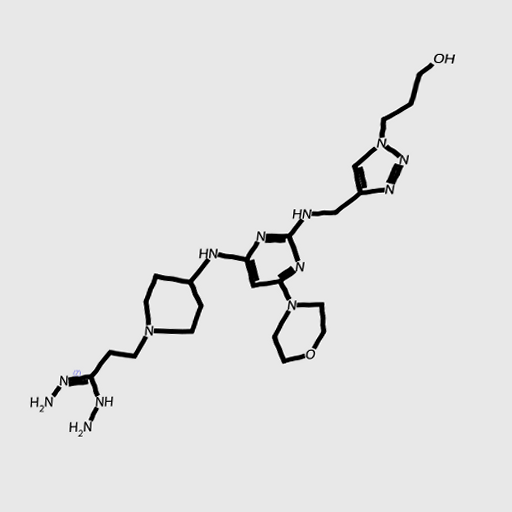 N/N=C(/CCN1CCC(Nc2cc(N3CCOCC3)nc(NCc3cn(CCCO)nn3)n2)CC1)NN